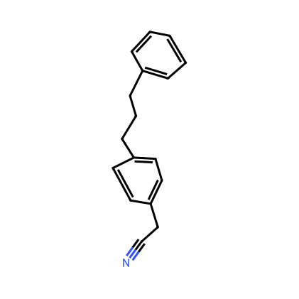 N#CCc1ccc(CCCc2ccccc2)cc1